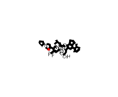 Cc1cccc(C)c1-c1cc(C(CC(=O)O)NC(=O)C(CC(C)C)n2cc(C3CCN(C4CCCC4)CC3)c(C(F)(F)F)cc2=O)cc2c1CCC2